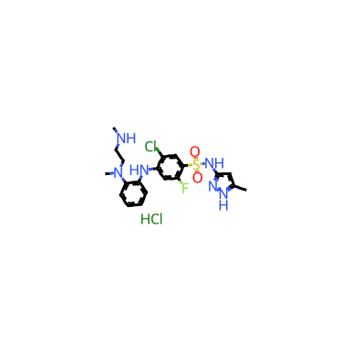 CNCCN(C)c1ccccc1Nc1cc(F)c(S(=O)(=O)Nc2cc(C)[nH]n2)cc1Cl.Cl